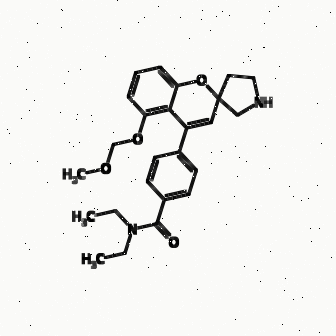 CCN(CC)C(=O)c1ccc(C2=CC3(CCNC3)Oc3cccc(OCOC)c32)cc1